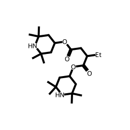 CCC(CC(=O)OC1CC(C)(C)NC(C)(C)C1)C(=O)OC1CC(C)(C)NC(C)(C)C1